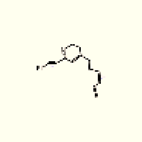 C=C/C=C\CCC1=CC(/C=C/CC)=NCC1